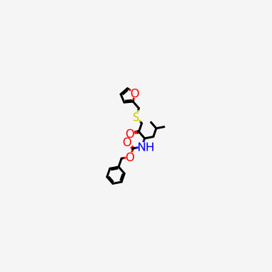 CC(C)CC(NC(=O)OCc1ccccc1)C(=O)CSCc1ccco1